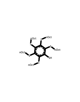 CCCCCCCCSc1c(S)c(SCCCCCCCC)c(SCCCCCCCC)c(SCCCCCCCC)c1SCCCCCCCC